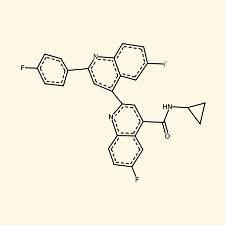 O=C(NC1CC1)c1cc(-c2cc(-c3ccc(F)cc3)nc3ccc(F)cc23)nc2ccc(F)cc12